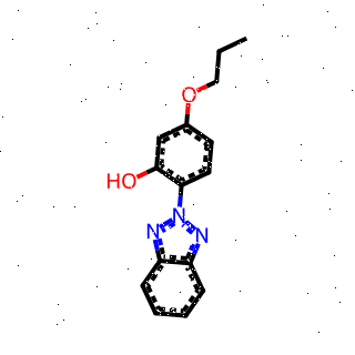 CCCOc1ccc(-n2nc3ccccc3n2)c(O)c1